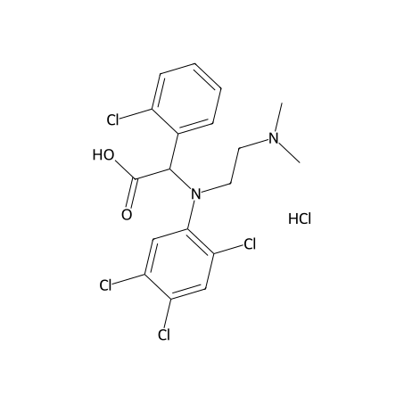 CN(C)CCN(c1cc(Cl)c(Cl)cc1Cl)C(C(=O)O)c1ccccc1Cl.Cl